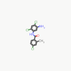 Cc1cc(Cl)ccc1C(=O)Nc1cc(N)c(Cl)cc1Cl